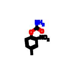 Cc1ccc(OC(N)=O)c([N+](=O)[O-])c1